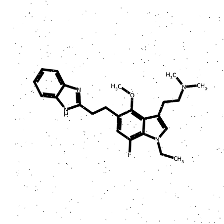 CCn1cc(CCN(C)C)c2c(OC)c(CCc3nc4ccccc4[nH]3)cc(F)c21